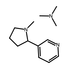 CN(C)C.CN1CCCC1c1cccnc1